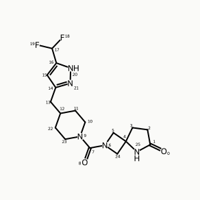 O=C1CCC2(CN(C(=O)N3CCC(Cc4cc(C(F)F)[nH]n4)CC3)C2)N1